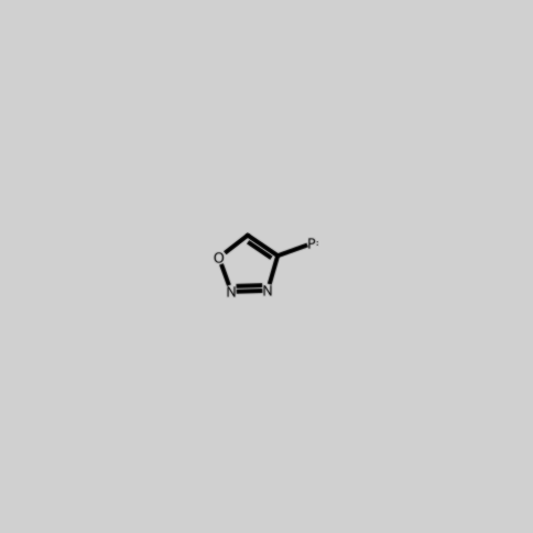 [P]c1conn1